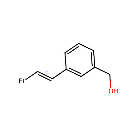 CC/C=C/c1cccc(CO)c1